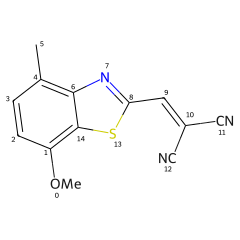 COc1ccc(C)c2nc(C=C(C#N)C#N)sc12